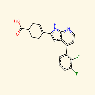 O=C(O)C1CC=C(c2cc3c(-c4cccc(F)c4F)ccnc3[nH]2)CC1